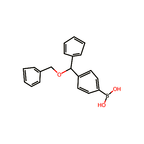 OB(O)c1ccc(C(OCc2ccccc2)c2ccccc2)cc1